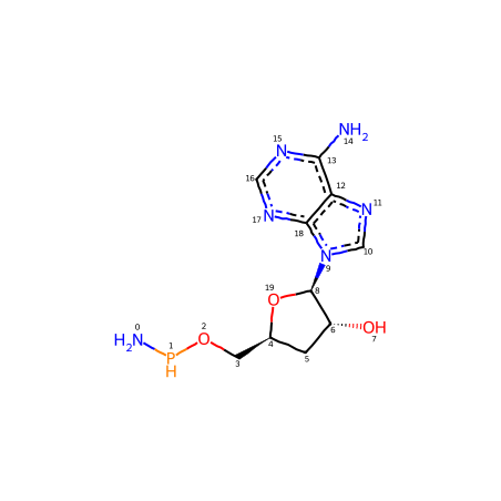 NPOC[C@@H]1C[C@@H](O)[C@H](n2cnc3c(N)ncnc32)O1